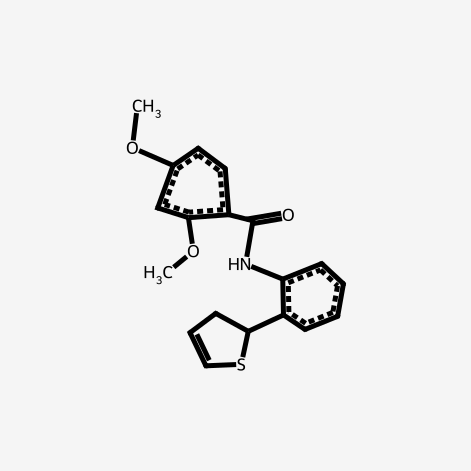 COc1ccc(C(=O)Nc2ccccc2C2CC=CS2)c(OC)c1